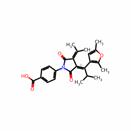 CC(C)=C1C(=O)N(c2ccc(C(=O)O)cc2)C(=O)/C1=C(/c1cc(C)oc1C)C(C)C